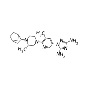 Cc1cc(-n2nc(N)nc2N)cnc1N1CCN([C@H]2CC3CCC2C3)C(C)C1